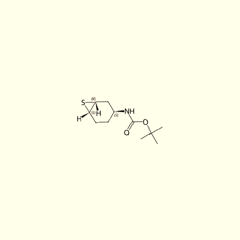 CC(C)(C)OC(=O)N[C@H]1CC[C@@H]2S[C@@H]2C1